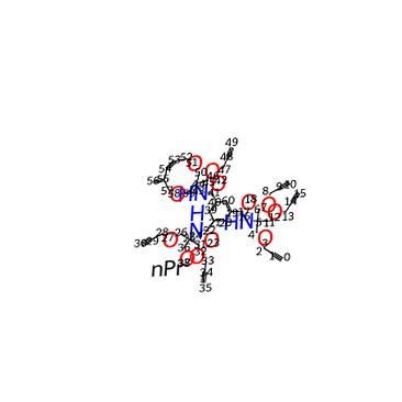 C#CCOCC(COCC#C)(COCC#C)NC(=O)c1cc(C(=O)NC(COCC#C)(COCC#C)COCCC)cc(C(=O)NC2(COCC#C)COCC#CC(=C)COC2)c1